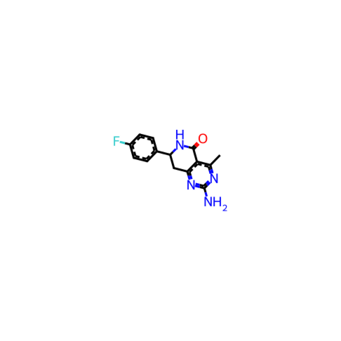 Cc1nc(N)nc2c1C(=O)NC(c1ccc(F)cc1)C2